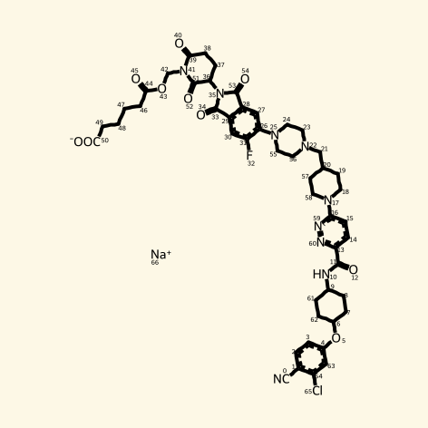 N#Cc1ccc(OC2CCC(NC(=O)c3ccc(N4CCC(CN5CCN(c6cc7c(cc6F)C(=O)N(C6CCC(=O)N(COC(=O)CCCCC(=O)[O-])C6=O)C7=O)CC5)CC4)nn3)CC2)cc1Cl.[Na+]